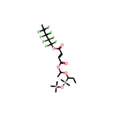 CCC(OC(C)OC(=O)/C=C/C(=O)OC(F)(F)C(F)(F)C(F)(F)C(C)(F)F)[Si](C)(C)O[Si](C)(C)C